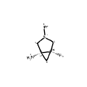 CC(C)N1C[C@H]2C[C@@]2(N)C1